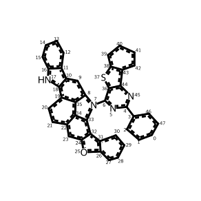 c1ccc(-c2nc(-n3c4cc5c6ccccc6[nH]c5c5ccc6cc7oc8ccccc8c7c3c6c54)c3sc4ccccc4c3n2)cc1